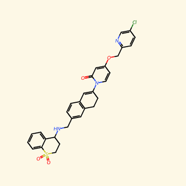 O=c1cc(OCc2ccc(Cl)cn2)ccn1C1=Cc2ccc(CNC3CCS(=O)(=O)c4ccccc43)cc2CC1